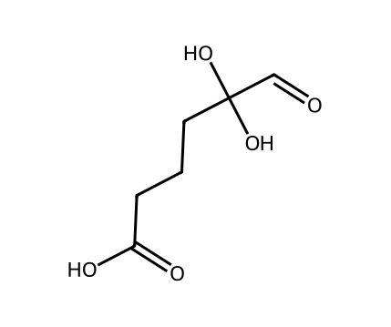 O=CC(O)(O)CCCC(=O)O